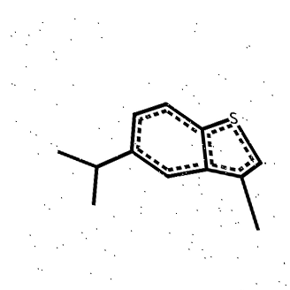 Cc1[c]sc2ccc(C(C)C)cc12